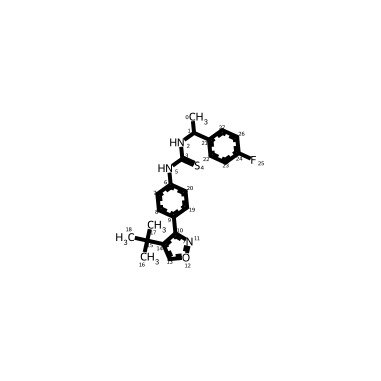 CC(NC(=S)Nc1ccc(-c2nocc2C(C)(C)C)cc1)c1ccc(F)cc1